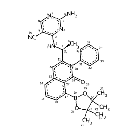 C[C@H](Nc1nc(N)ncc1C#N)c1cc2cccc(B3OC(C)(C)C(C)(C)O3)c2c(=O)n1-c1ccccc1